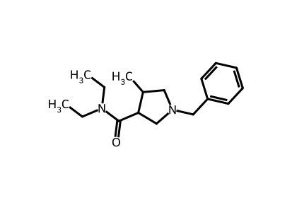 CCN(CC)C(=O)C1CN(Cc2ccccc2)CC1C